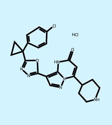 Cl.O=c1cc(C2CCNCC2)n2ncc(-c3nnc(C4(c5ccc(Cl)cc5)CC4)o3)c2[nH]1